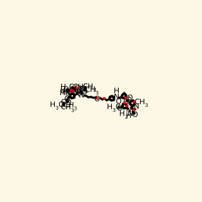 COc1cccc(Nc2c(C(N)=O)cnc3c(C)cc(S(=O)(=O)c4cccc(C(=O)Nc5ccc(CCCCOCCCCCCN(C[C@H](O[Si](C)(C)C(C)(C)C)c6ccc(OC(=O)OC(C)(C)C)c7[nH]c(=O)ccc67)C(=O)OC(C)(C)C)cc5)c4)cc23)c1